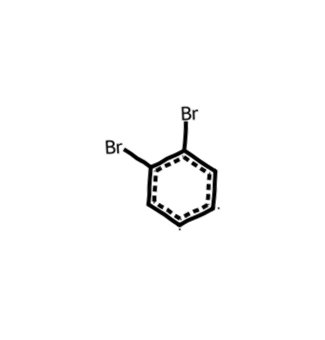 Brc1c[c][c]cc1Br